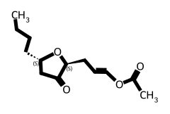 CCCC[C@H]1CC(=O)[C@H](CC=COC(C)=O)O1